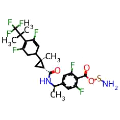 C[C@@H](NC(=O)[C@@H]1C[C@@]1(C)C1C=C(F)C(C(C)(C)C(F)(F)F)=C(F)C1)c1cc(F)c(C(=O)OSN)c(F)c1